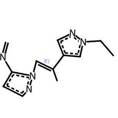 C=Nc1ccnn1/C=C(\C)c1cnn(CC)c1